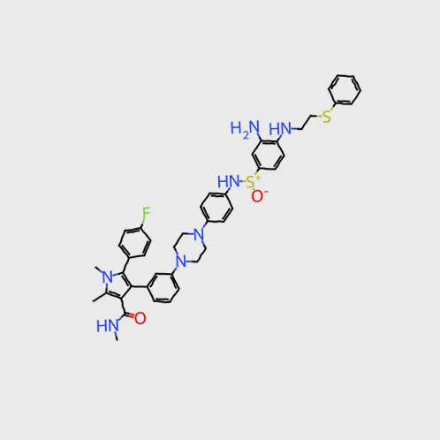 CNC(=O)c1c(-c2cccc(N3CCN(c4ccc(N[S+]([O-])c5ccc(NCCSc6ccccc6)c(N)c5)cc4)CC3)c2)c(-c2ccc(F)cc2)n(C)c1C